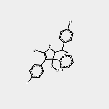 CCCC1=C(c2ccc(F)cc2)C(OC=O)(c2ncccn2)N(C(C)c2ccc(Cl)cc2)N1